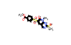 COC(=O)c1ccc(S(=O)(=O)c2cc3cnc([S+](C)[O-])nc3n(C)c2=O)cc1